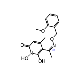 COc1ccccc1CO/N=C(/C)c1c(C)cc(=O)n(O)c1O